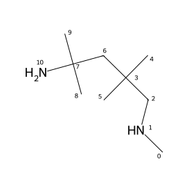 CNCC(C)(C)CC(C)(C)N